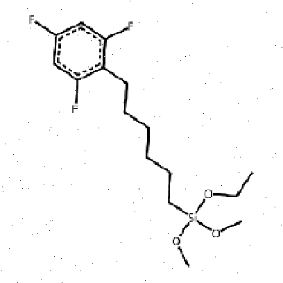 CCO[Si](CCCCCCc1c(F)cc(F)cc1F)(OC)OC